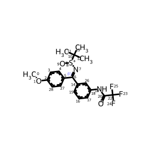 COc1ccc(/C(=N\[S+]([O-])C(C)(C)C)c2cccc(NC(=O)C(F)(F)F)c2)cc1